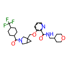 O=C(NCC1CCOCC1)c1ncccc1OCC12CC1CN(C(=O)C1CCC(C(F)(F)F)CC1)C2